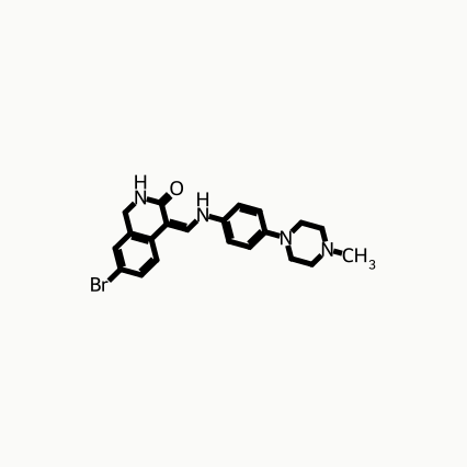 CN1CCN(c2ccc(NC=C3C(=O)NCc4cc(Br)ccc43)cc2)CC1